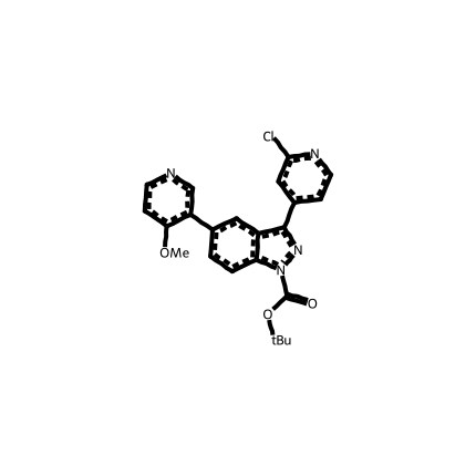 COc1ccncc1-c1ccc2c(c1)c(-c1ccnc(Cl)c1)nn2C(=O)OC(C)(C)C